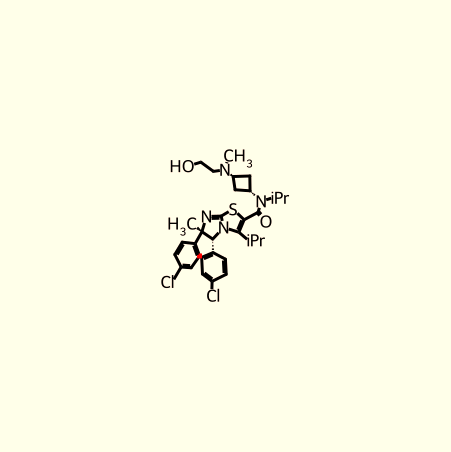 CC(C)C1=C(C(=O)N(C(C)C)[C@H]2C[C@@H](N(C)CCO)C2)SC2=N[C@@](C)(c3ccc(Cl)cc3)[C@@H](c3ccc(Cl)cc3)N21